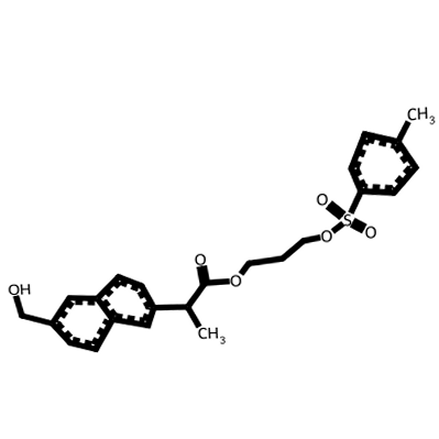 Cc1ccc(S(=O)(=O)OCCCOC(=O)C(C)c2ccc3cc(CO)ccc3c2)cc1